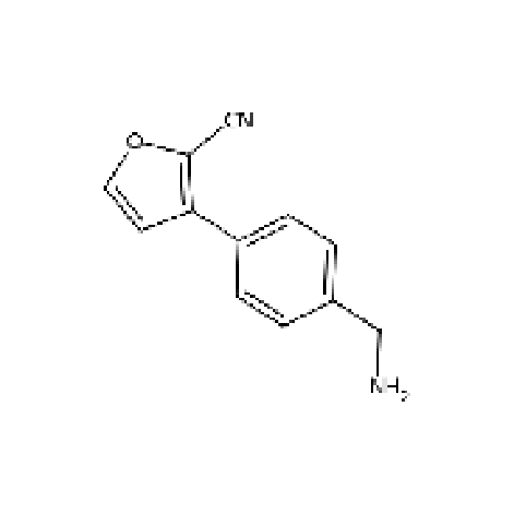 N#Cc1occc1-c1ccc(CN)cc1